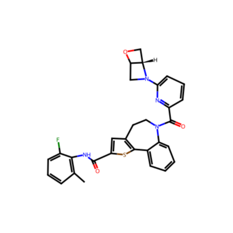 Cc1cccc(F)c1NC(=O)c1cc2c(s1)-c1ccccc1N(C(=O)c1cccc(N3CC4OC[C@@H]43)n1)CC2